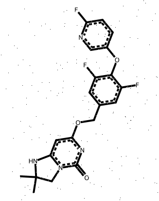 CC1(C)Cn2c(cc(OCc3cc(F)c(Oc4ccc(F)nc4)c(F)c3)nc2=O)N1